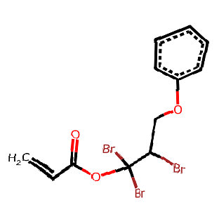 C=CC(=O)OC(Br)(Br)C(Br)COc1ccccc1